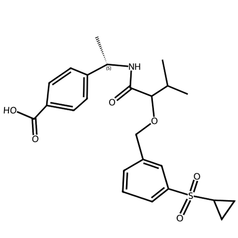 CC(C)C(OCc1cccc(S(=O)(=O)C2CC2)c1)C(=O)N[C@@H](C)c1ccc(C(=O)O)cc1